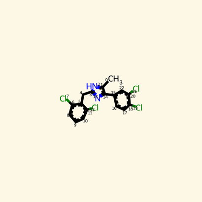 Cc1[nH]c(Cc2c(Cl)cccc2Cl)nc1-c1ccc(Cl)c(Cl)c1